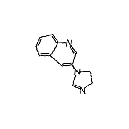 C1=NCCN1c1cnc2ccccc2c1